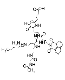 CCCC[C@H](N)CNCC[C@H](NCCNC(=O)CNC(C)=O)C(=O)N[C@H](CCN1C(=O)c2cccc3cccc(c23)C1=O)C(=O)NCC[C@@H](NC(=O)CCCC(=O)O)C(=O)O